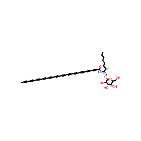 CC#CC#CC#CC#CC#CC#CC#CC#CC#CC#CC#CC#CC(=O)N[C@@H](CO[C@H]1OC(CO)[C@H](O)[C@H](O)C1O)[C@H](F)CCCCCC